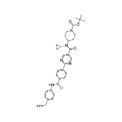 CC(C)(C)OC(=O)N1CCC(N(C(=O)c2cnc(-c3ccc(C(=O)Nc4ccc(CO)cc4)cc3)nc2)C2CC2)CC1